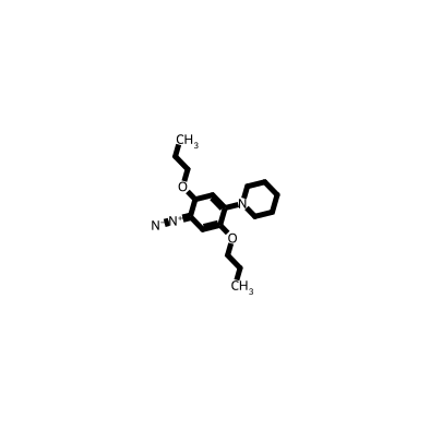 CCCOC1=CC(=[N+]=[N-])C(OCCC)C=C1N1CCCCC1